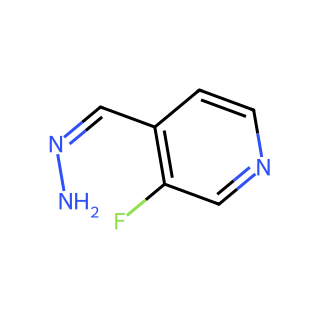 N/N=C\c1ccncc1F